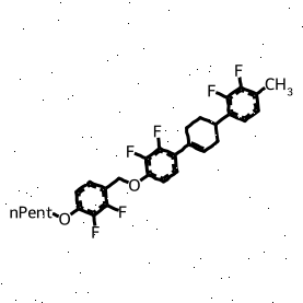 CCCCCOc1ccc(COc2ccc(C3=CCC(c4ccc(C)c(F)c4F)CC3)c(F)c2F)c(F)c1F